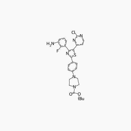 CC(C)(C)OC(=O)N1CCN(c2ccc(-c3nc(-c4cccc(N)c4F)c(-c4ccnc(Cl)n4)s3)cc2)CC1